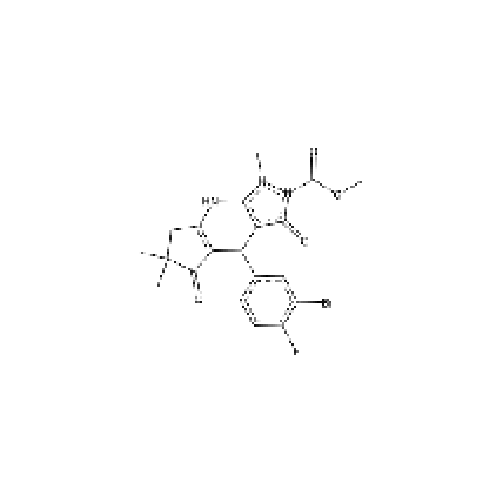 COC(=O)n1c(=O)c2c(n1C)NC1=C(C(=O)C(C)(C)C1)C2c1ccc(F)c(Br)c1